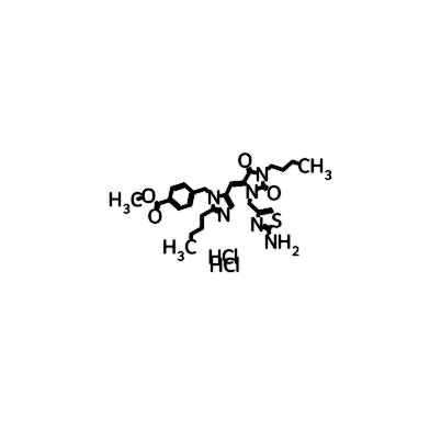 CCCCc1ncc(C=C2C(=O)N(CCCC)C(=O)N2Cc2csc(N)n2)n1Cc1ccc(C(=O)OC)cc1.Cl.Cl